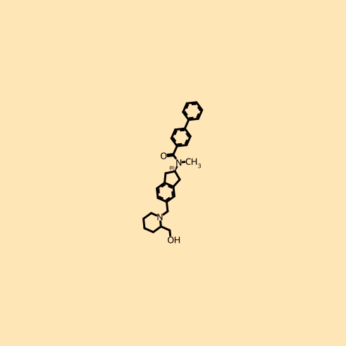 CN(C(=O)c1ccc(-c2ccccc2)cc1)[C@@H]1Cc2ccc(CN3CCCCC3CO)cc2C1